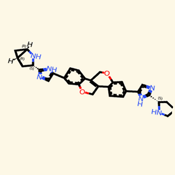 c1cc2c(cc1-c1cnc([C@@H]3CCCN3)[nH]1)OCC1=C2COc2cc(-c3cnc([C@@H]4C[C@H]5C[C@H]5N4)[nH]3)ccc21